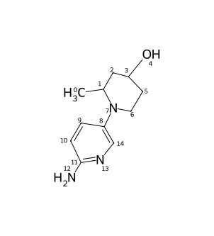 CC1CC(O)CCN1c1ccc(N)nc1